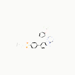 CS(=O)(=O)c1ccc(-c2ccc3nc4n(c3c2)[C@H](c2ccccc2OC(F)F)CNC4)cc1